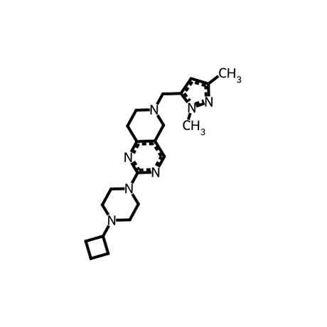 Cc1cc(CN2CCc3nc(N4CCN(C5CCC5)CC4)ncc3C2)n(C)n1